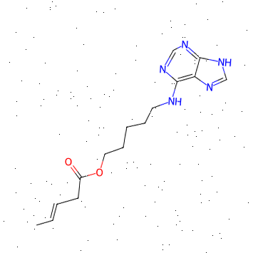 C/C=C/CC(=O)OCCCCCNc1ncnc2[nH]cnc12